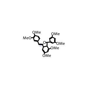 COC1=CC2/C(=C/c3ccc(OC)c(OC)c3)OC(c3cc(OC)cc(OC)c3)C2C(OC)=C1